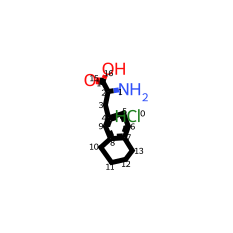 Cl.NC(Cc1ccc2c(c1)CCCC2)C(=O)O